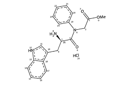 COC(=O)CN(C(=O)[C@H](N)Cc1c[nH]c2ccccc12)c1ccccc1.Cl